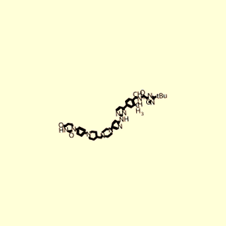 Cc1cc(-c2ccnc(Nc3ccc(N4CCN(CC5CCN(c6ccc(N7CCC(=O)NC7=O)cc6)CC5)CC4)cn3)n2)ccc1[C@@H](C)NC(=O)c1nc(C(C)(C)C)no1